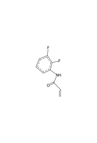 C=CC(=O)Nc1cccc(F)c1F